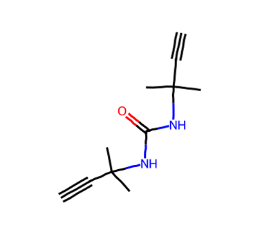 C#CC(C)(C)NC(=O)NC(C)(C)C#C